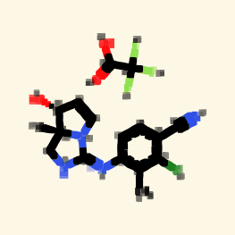 Cc1c(/N=C2/NC[C@@H]3[C@H](O)C=CN23)ccc(C#N)c1Cl.O=C(O)C(F)(F)F